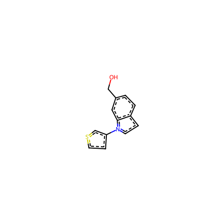 OCc1ccc2ccn(-c3ccsc3)c2c1